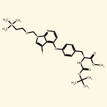 COC(=O)[C@H](Cc1ccc(Oc2ccnc3c2c(I)cn3COCCS(C)(C)C)cc1)NC(=O)OC(C)(C)C